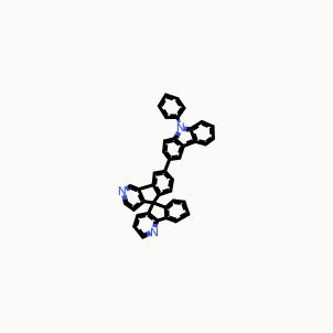 c1ccc(-n2c3ccccc3c3cc(-c4ccc5c(c4)-c4cnccc4C54c5ccccc5-c5ncccc54)ccc32)cc1